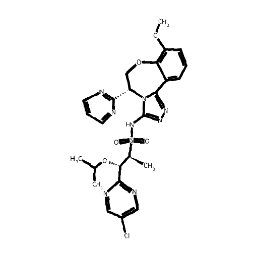 COc1cccc2c1OC[C@@H](c1ncccn1)n1c(NS(=O)(=O)[C@@H](C)[C@@H](OC(C)C)c3ncc(Cl)cn3)nnc1-2